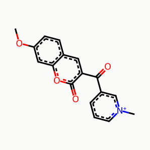 COc1ccc2cc(C(=O)c3ccc[n+](C)c3)c(=O)oc2c1